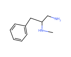 CNC(CN)Cc1ccccc1